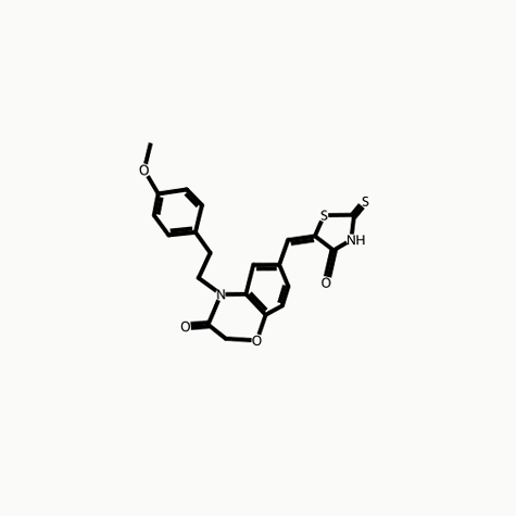 COc1ccc(CCN2C(=O)COc3ccc(C=C4SC(=S)NC4=O)cc32)cc1